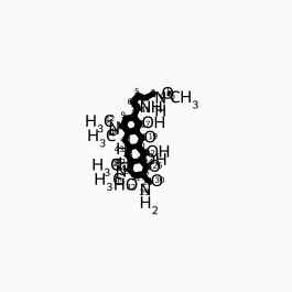 CONCc1ccc(-c2cc(N(C)C)c3c(c2O)C(=O)C2=C(O)[C@]4(O)C(=O)C(C(N)=O)=C(O)[C@@H](N(C)C)[C@@H]4C[C@@H]2C3)[nH]1